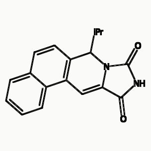 CC(C)C1c2ccc3ccccc3c2C=C2C(=O)NC(=O)N21